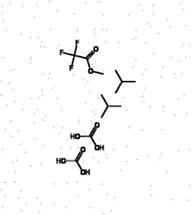 CC(C)C.CC(C)C.COC(=O)C(F)(F)F.O=C(O)O.O=C(O)O